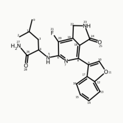 CC(C)CC(Nc1nc(-c2coc3ccccc23)c2c(c1F)CNC2=O)C(N)=O